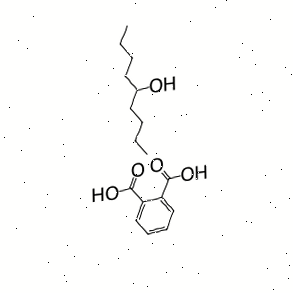 CCCCC(O)CCCC.O=C(O)c1ccccc1C(=O)O